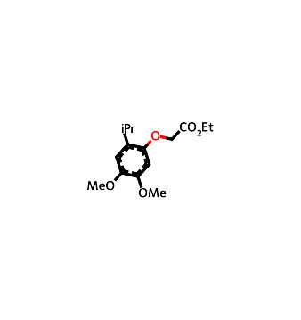 CCOC(=O)COc1cc(OC)c(OC)cc1C(C)C